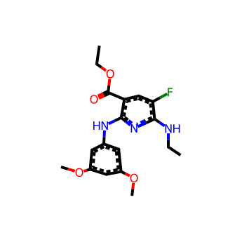 CCNc1nc(Nc2cc(OC)cc(OC)c2)c(C(=O)OCC)cc1F